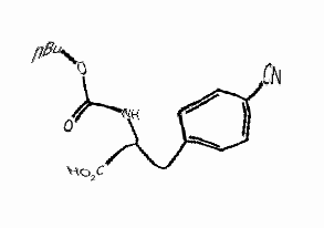 CCCCOC(=O)N[C@@H](Cc1ccc(C#N)cc1)C(=O)O